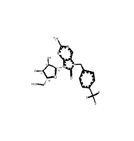 Nc1ncc2c(n1)n([C@@H]1O[C@H](CO)[C@@H](F)[C@H]1O)c(=O)n2Cc1ccc(C(F)(F)F)cc1